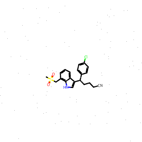 CS(=O)(=O)Cc1cccc2c(C(CCCC#N)c3ccc(Cl)cc3)c[nH]c12